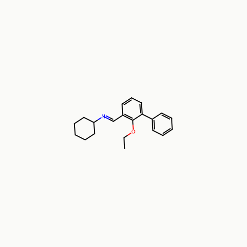 CCOc1c(/C=N/C2CCCCC2)cccc1-c1ccccc1